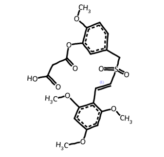 COc1cc(OC)c(/C=C/S(=O)(=O)Cc2ccc(OC)c(OC(=O)CC(=O)O)c2)c(OC)c1